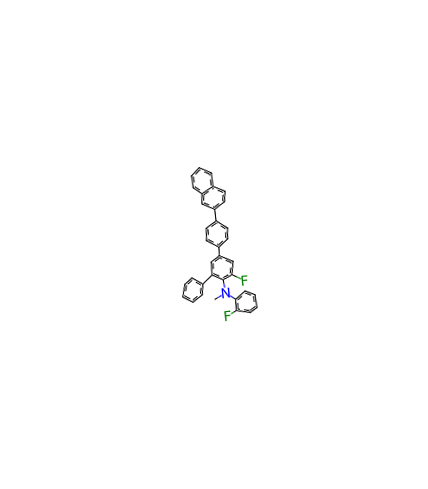 CN(c1ccccc1F)c1c(F)cc(-c2ccc(-c3ccc4ccccc4c3)cc2)cc1-c1ccccc1